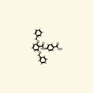 O=C(O)c1ccc(NC(=O)c2c(OCc3ccccc3)cccc2OCc2ccccc2)cc1